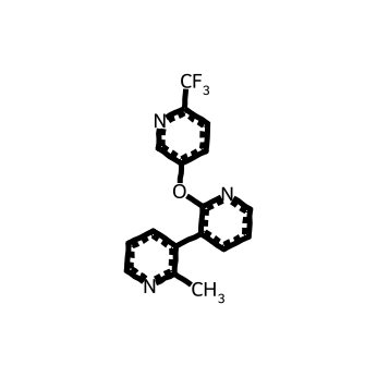 Cc1ncccc1-c1cccnc1Oc1ccc(C(F)(F)F)nc1